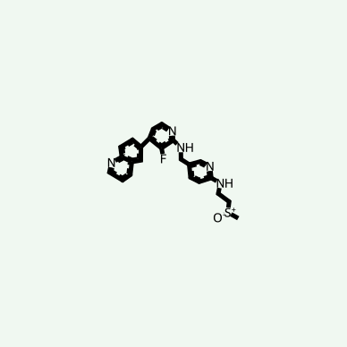 C[S+]([O-])CCNc1ccc(CNc2nccc(-c3ccc4ncccc4c3)c2F)cn1